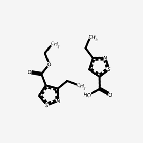 CCOC(=O)c1csnc1CC.CCc1cc(C(=O)O)sn1